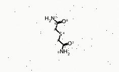 NC(=O)CSCC(N)=O